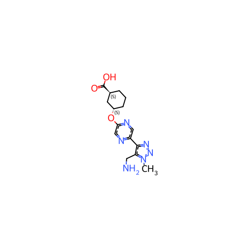 Cn1nnc(-c2cnc(O[C@H]3CCC[C@H](C(=O)O)C3)cn2)c1CN